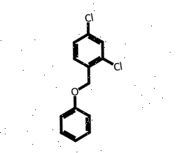 Clc1[c]c(Cl)c(COc2ccccc2)cc1